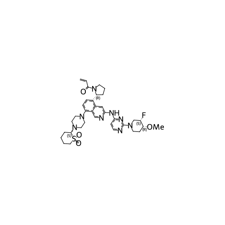 C=CC(=O)N1CCC[C@@H]1c1ccc(N2CCN([C@@H]3CCCCS3(=O)=O)CC2)c2cnc(Nc3ccnc(N4CC[C@@H](OC)[C@@H](F)C4)n3)cc12